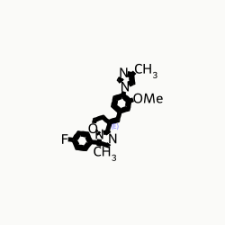 COc1cc(/C=C2\CCON3C2=NCC3(C)c2ccc(F)cc2)ccc1-n1cnc(C)c1